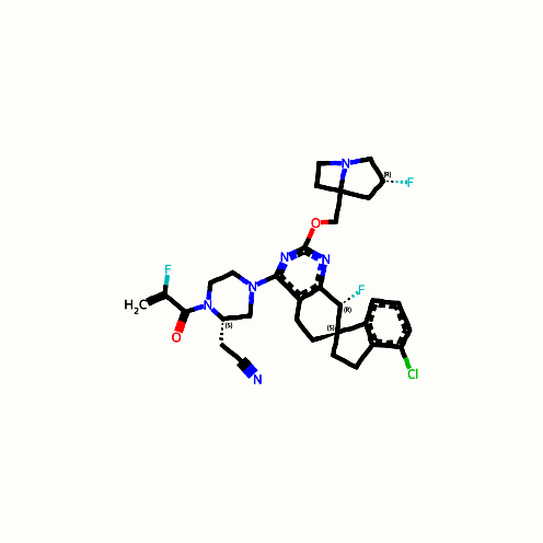 C=C(F)C(=O)N1CCN(c2nc(OCC34CCN3C[C@H](F)C4)nc3c2CC[C@@]2(CCc4c(Cl)cccc42)[C@H]3F)C[C@@H]1CC#N